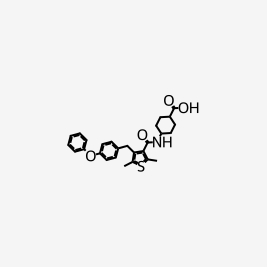 Cc1sc(C)c(C(=O)NC2CCC(C(=O)O)CC2)c1Cc1ccc(Oc2ccccc2)cc1